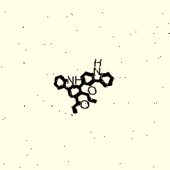 C=CC(=O)c1cc2c([nH]c3ccccc32)c(-c2ccc3[nH]c4ccccc4c3c2)c1C(=O)C=C